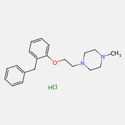 CN1CCN(CCOc2ccccc2Cc2ccccc2)CC1.Cl